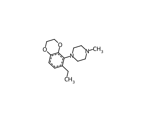 CCc1ccc2c(c1N1CCN(C)CC1)OCCO2